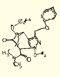 CN(C)C(=O)C1c2c(c(COc3ccccn3)nn2C)C2CN1C(=O)N2OS(=O)(=O)O